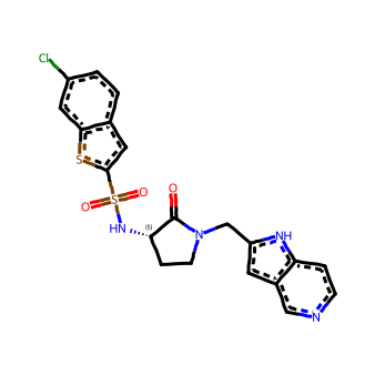 O=C1[C@@H](NS(=O)(=O)c2cc3ccc(Cl)cc3s2)CCN1Cc1cc2cnccc2[nH]1